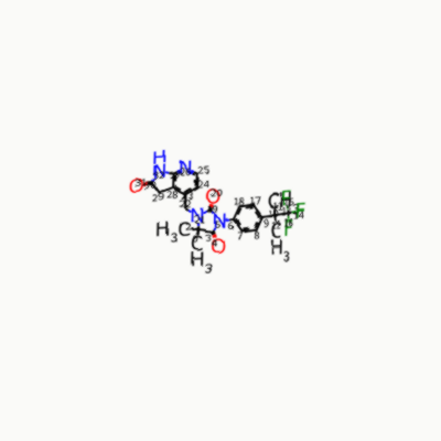 CC1(C)C(=O)N(c2ccc(C(C)(C)C(F)(F)F)cc2)C(=O)N1Cc1ccnc2c1CC(=O)N2